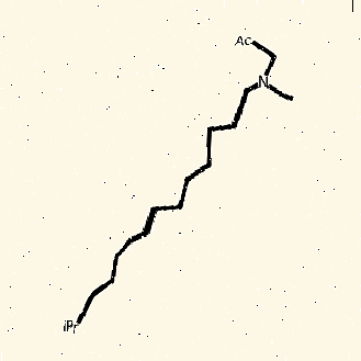 CC(=O)CN(C)CCCCCCCCCCCC(C)C